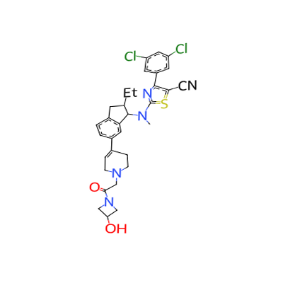 CCC1Cc2ccc(C3=CCN(CC(=O)N4CC(O)C4)CC3)cc2C1N(C)c1nc(-c2cc(Cl)cc(Cl)c2)c(C#N)s1